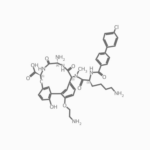 CN(C(=O)[C@H](CCCCN)NC(=O)c1ccc(-c2ccc(Cl)cc2)cc1)[C@@H]1C(=O)N[C@@H](N)C(=O)N[C@H](C(=O)O)Cc2ccc(O)c(c2)-c2cc1ccc2OCCN